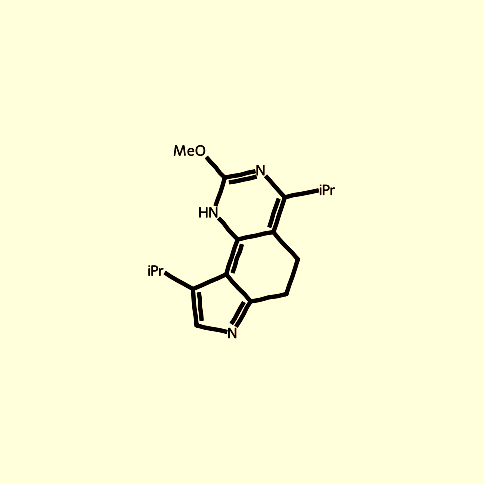 COC1=NC(C(C)C)=C2CCC3=NC=C(C(C)C)C3=C2N1